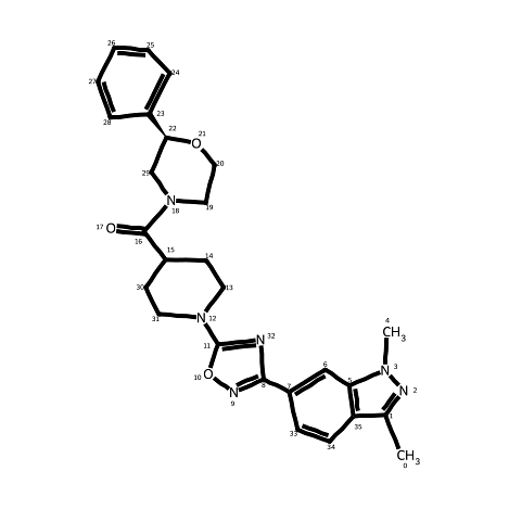 Cc1nn(C)c2cc(-c3noc(N4CCC(C(=O)N5CCO[C@H](c6ccccc6)C5)CC4)n3)ccc12